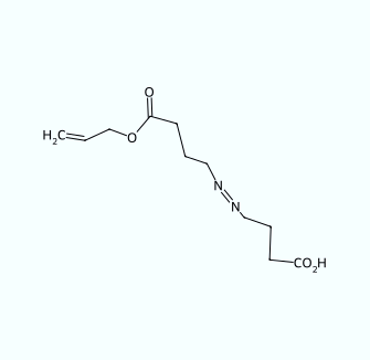 C=CCOC(=O)CCCN=NCCCC(=O)O